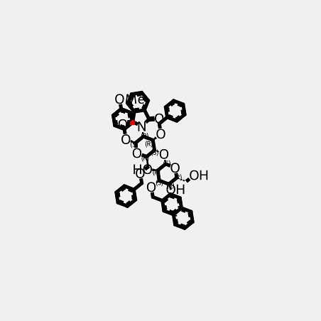 COc1ccc(O[C@@H]2O[C@H](COCc3ccccc3)[C@@H](O[C@@H]3O[C@H](CO)[C@@H](O)[C@H](OCc4ccc5ccccc5c4)[C@H]3O)[C@H](OCc3ccccc3)[C@H]2N2C(=O)c3ccccc3C2=O)cc1